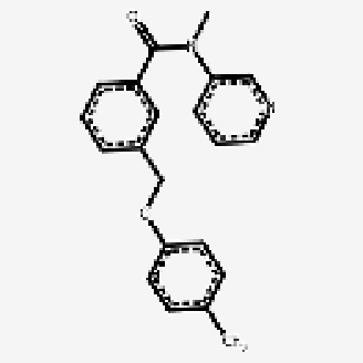 CN(C(=O)c1cccc(COc2ccc(C(F)(F)F)cc2)c1)c1cccnc1